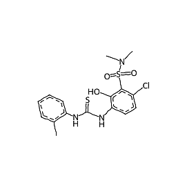 Cc1ccccc1NC(=S)Nc1ccc(Cl)c(S(=O)(=O)N(C)C)c1O